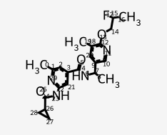 Cc1cc(C(=O)NC(C)c2cnc(OCC(C)F)c(C)c2)cc(NC(=O)C2CC2)n1